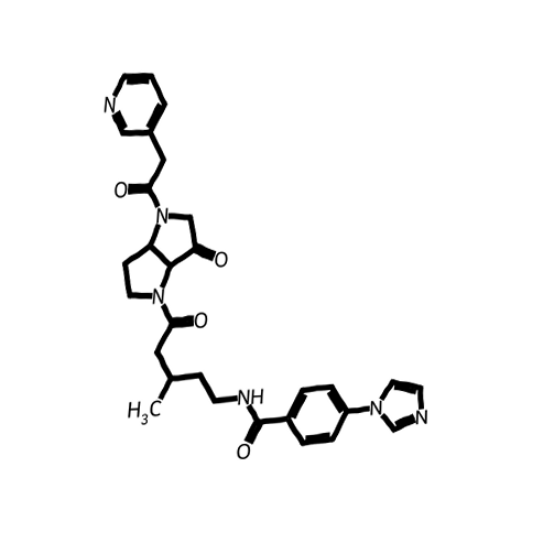 CC(CCNC(=O)c1ccc(-n2ccnc2)cc1)CC(=O)N1CCC2C1C(=O)CN2C(=O)Cc1cccnc1